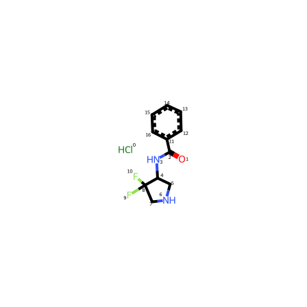 Cl.O=C(NC1CNCC1(F)F)c1ccccc1